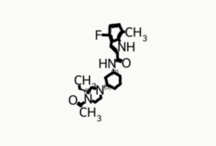 CC[C@H]1CN([C@H]2CCC[C@@H](NC(=O)c3cc4c(F)ccc(C)c4[nH]3)C2)CCN1C(C)=O